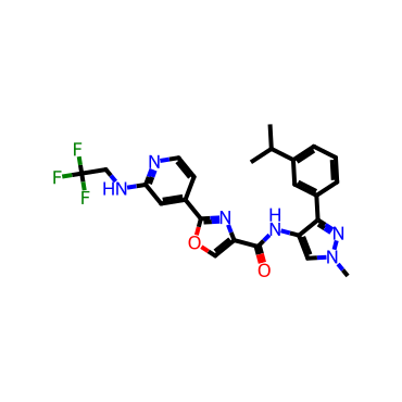 CC(C)c1cccc(-c2nn(C)cc2NC(=O)c2coc(-c3ccnc(NCC(F)(F)F)c3)n2)c1